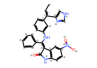 C/C=C(/c1cccc(NC(=C2C(=O)Nc3ccc([N+](=O)[O-])cc32)c2ccccc2)c1)c1c[nH]cn1